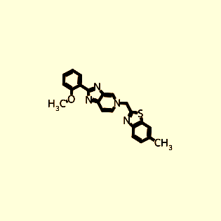 COc1ccccc1-c1nc2ccn(Cc3nc4ccc(C)cc4s3)cc-2n1